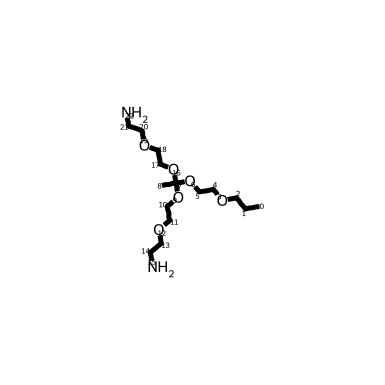 CCCOCCOC(C)(OCCOCCN)OCCOCCN